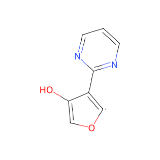 Oc1co[c]c1-c1ncccn1